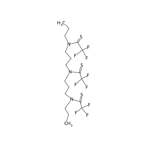 CCCN(CCCN(CCCN(CCC)C(=S)C(F)(F)F)C(=S)C(F)(F)F)C(=S)C(F)(F)F